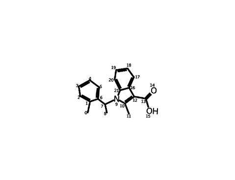 Cc1ccccc1C(C)n1c(C)c(C(=O)O)c2ccccc21